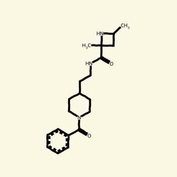 CC1CC(C)(C(=O)NCCC2CCN(C(=O)c3ccccc3)CC2)N1